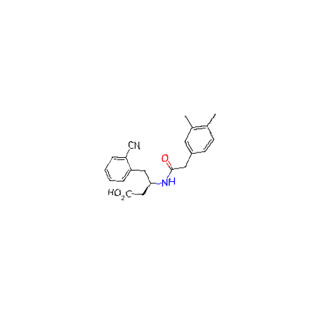 Cc1ccc(CC(=O)N[C@@H](CC(=O)O)Cc2ccccc2C#N)cc1C